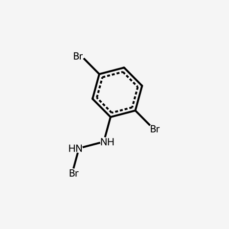 BrNNc1cc(Br)ccc1Br